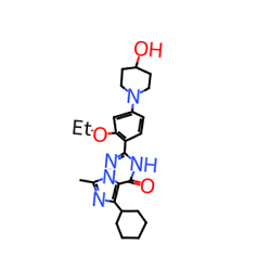 CCOc1cc(N2CCC(O)CC2)ccc1-c1nn2c(C)nc(C3CCCCC3)c2c(=O)[nH]1